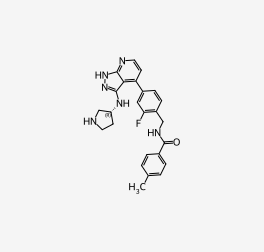 Cc1ccc(C(=O)NCc2ccc(-c3ccnc4[nH]nc(N[C@@H]5CCNC5)c34)cc2F)cc1